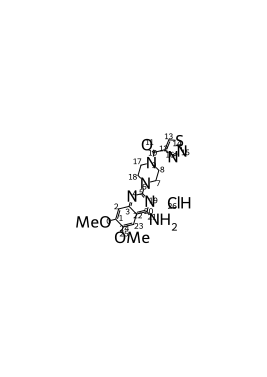 COc1cc2nc(N3CCN(C(=O)c4csnn4)CC3)nc(N)c2cc1OC.Cl